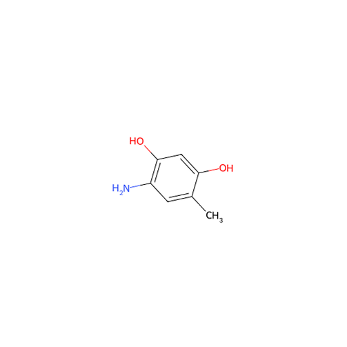 Cc1cc(N)c(O)cc1O